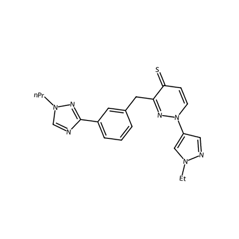 CCCn1cnc(-c2cccc(Cc3nn(-c4cnn(CC)c4)ccc3=S)c2)n1